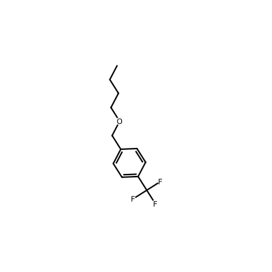 CCCCOCc1ccc(C(F)(F)F)cc1